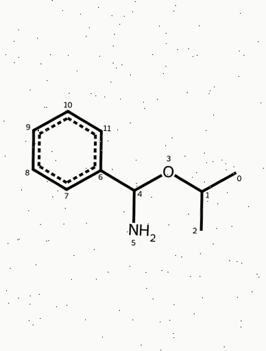 CC(C)OC(N)c1cc[c]cc1